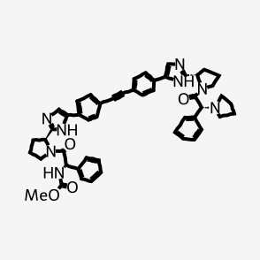 COC(=O)N[C@@H](C(=O)N1CCC[C@H]1c1ncc(-c2ccc(C#Cc3ccc(-c4cnc([C@@H]5CCCN5C(=O)[C@@H](c5ccccc5)N5CCCC5)[nH]4)cc3)cc2)[nH]1)c1ccccc1